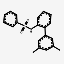 Cc1cc(C)cc(-c2ccccc2NS(=O)(=O)c2ccccc2)c1